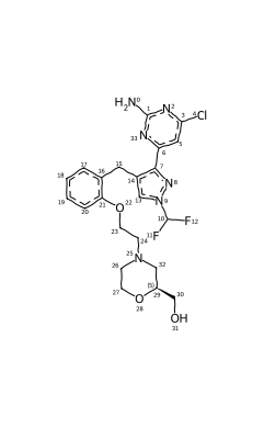 Nc1nc(Cl)cc(-c2nn(C(F)F)cc2Cc2ccccc2OCCN2CCO[C@H](CO)C2)n1